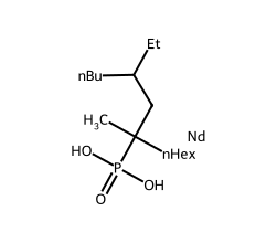 CCCCCCC(C)(CC(CC)CCCC)P(=O)(O)O.[Nd]